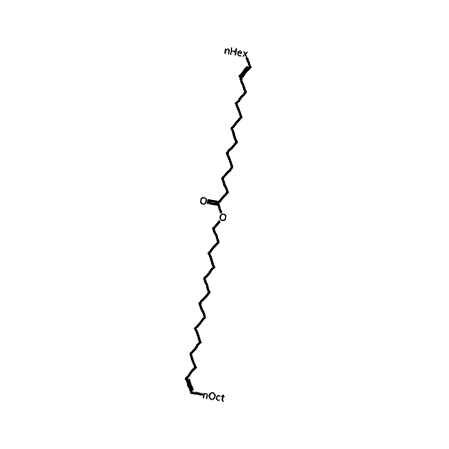 CCCCCC/C=C/CCCCCCCCCC(=O)OCCCCCCCCCCCC/C=C\CCCCCCCC